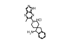 Cc1nc2cn[nH]c2nc1N1CCC2(CC1)Cc1ccccc1C2N.Cl